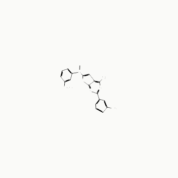 COc1cccc(N(C)c2cc3c(N)nc(-c4cccc(C#N)c4)nc3s2)c1